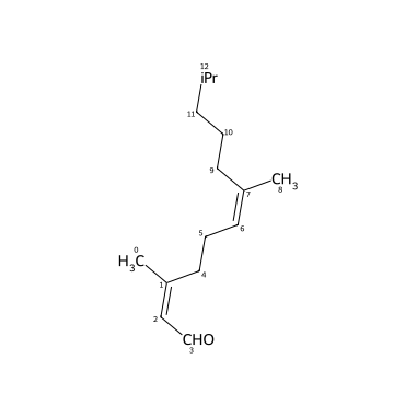 CC(=CC=O)CCC=C(C)CCCC(C)C